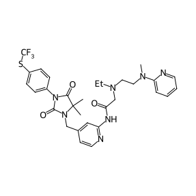 CCN(CCN(C)c1ccccn1)CC(=O)Nc1cc(CN2C(=O)N(c3ccc(SC(F)(F)F)cc3)C(=O)C2(C)C)ccn1